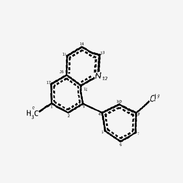 Cc1cc(-c2cccc(Cl)c2)c2ncccc2c1